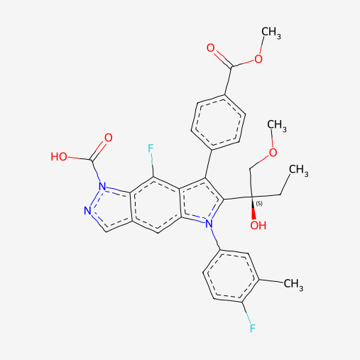 CC[C@@](O)(COC)c1c(-c2ccc(C(=O)OC)cc2)c2c(F)c3c(cnn3C(=O)O)cc2n1-c1ccc(F)c(C)c1